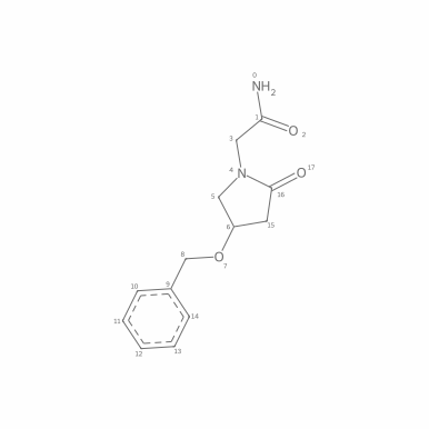 NC(=O)CN1CC(OCc2ccccc2)CC1=O